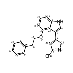 Clc1nsc(-c2c[nH]c3ncnc(OCCc4ccccc4)c23)n1